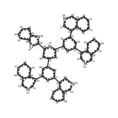 c1ccc2c(-c3cc(-c4cc(-c5cc(-c6cncc7ccccc67)cc(-c6cncc7ccccc67)c5)nc(-c5nc6ccccc6o5)c4)cc(-c4cncc5ccccc45)c3)cncc2c1